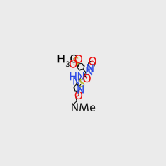 CNCCCOc1ccc2nc(NC(=O)/C(=N/N3CCOCC3)c3ccc(S(C)(=O)=O)cc3)sc2n1